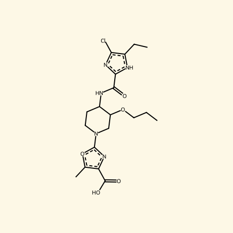 CCCOC1CN(c2nc(C(=O)O)c(C)o2)CCC1NC(=O)c1nc(Cl)c(CC)[nH]1